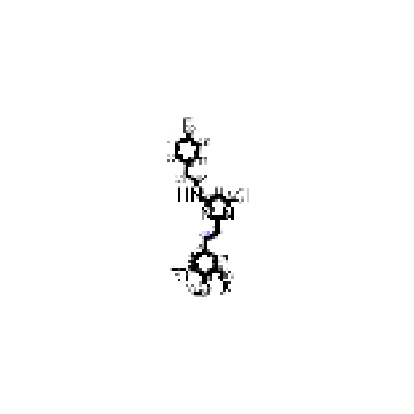 COc1cc(/C=C/c2nc(Cl)cc(NCCc3ccc(F)cc3)n2)cc(OC)c1OC